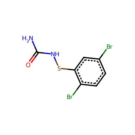 NC(=O)NSc1cc(Br)ccc1Br